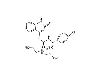 O=C(NC(Cc1cc(=O)[nH]c2ccccc12)C(=O)O)c1ccc(Cl)cc1.OCCNCCO